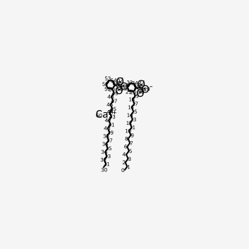 CCCCCCCCCCCCCCCCCCCCc1ccccc1S(=O)(=O)[O-].CCCCCCCCCCCCCCCCCCCCc1ccccc1S(=O)(=O)[O-].[Ca+2]